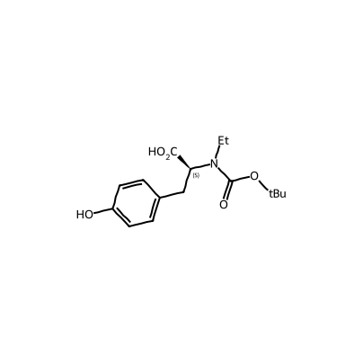 CCN(C(=O)OC(C)(C)C)[C@@H](Cc1ccc(O)cc1)C(=O)O